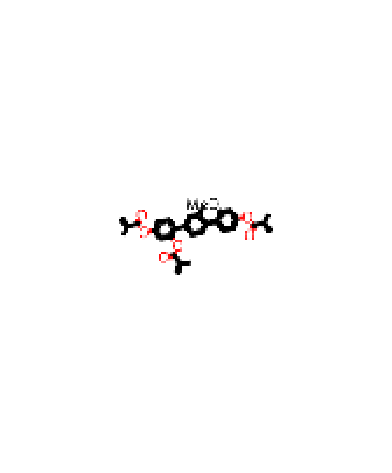 C=C(C)C(=O)Oc1ccc(-c2ccc(-c3ccc(OC(=O)C(=C)C)cc3OC)c(C)c2)c(OC(=O)C(=C)C)c1